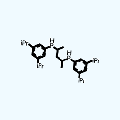 CC(CC(C)Pc1cc(C(C)C)cc(C(C)C)c1)Pc1cc(C(C)C)cc(C(C)C)c1